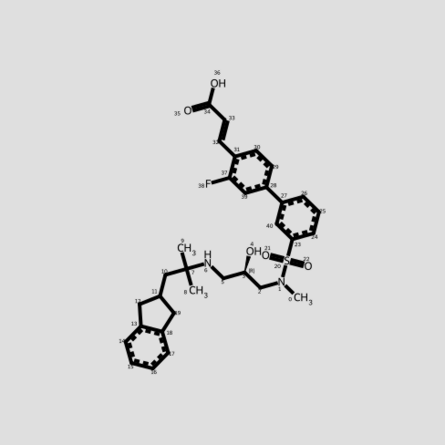 CN(C[C@H](O)CNC(C)(C)CC1Cc2ccccc2C1)S(=O)(=O)c1cccc(-c2ccc(C=CC(=O)O)c(F)c2)c1